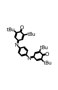 CC(C)(C)C1=CC(=Nc2ccc(N=C3C=C(C(C)(C)C)C(=O)C(C(C)(C)C)=C3)cc2)C=C(C(C)(C)C)C1=O